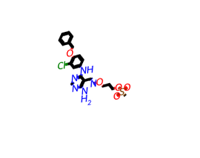 CS(=O)(=O)OCCCO/N=C/c1c(N)ncnc1Nc1ccc(OCc2ccccc2)c(Cl)c1